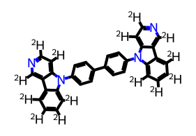 [2H]c1nc([2H])c2c3c([2H])c([2H])c([2H])c([2H])c3n(-c3ccc(-c4ccc(-n5c6c([2H])c([2H])nc([2H])c6c6c([2H])c([2H])c([2H])c([2H])c65)cc4)cc3)c2c1[2H]